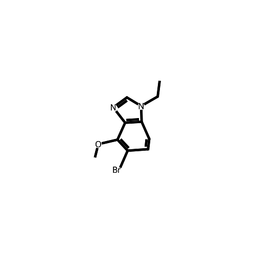 CCn1cnc2c(OC)c(Br)ccc21